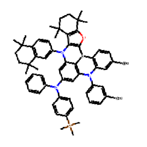 CC(C)(C)c1cccc(N2c3cc(C(C)(C)C)ccc3B3c4oc5c(c4N(c4ccc6c(c4)C(C)(C)CCC6(C)C)c4cc(N(c6ccccc6)c6ccc(S(C)(C)C)cc6)cc2c43)C(C)(C)CCC5(C)C)c1